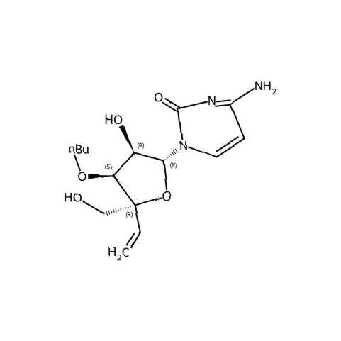 C=C[C@]1(CO)O[C@@H](n2ccc(N)nc2=O)[C@H](O)[C@@H]1OCCCC